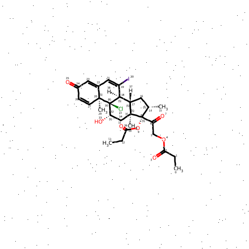 CCC(=O)OCC(=O)[C@]1(OC(=O)CC)[C@@H](C)C[C@H]2[C@@H]3C(I)=CC4=CC(=O)C=C[C@]4(C)[C@@]3(Cl)[C@@H](O)C[C@@]21C